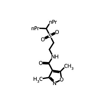 CCCC(CCC)S(=O)(=O)CCNC(=O)c1c(C)noc1C